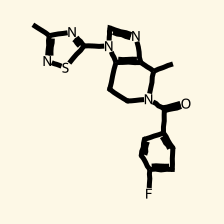 Cc1nsc(-n2cnc3c2CCN(C(=O)c2ccc(F)cc2)C3C)n1